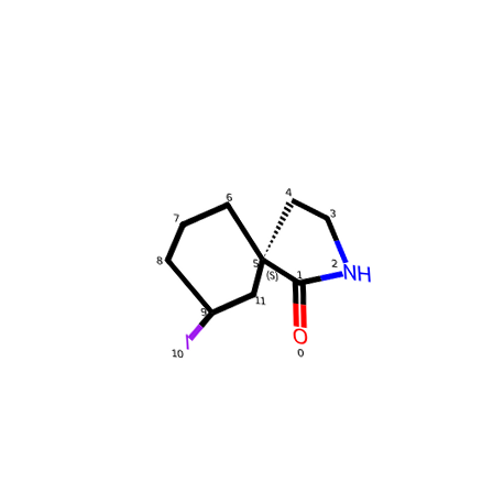 O=C1NCC[C@]12CCCC(I)C2